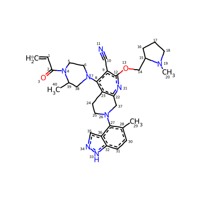 C=CC(=O)N1CCN(c2c(C#N)c(OCC3CCCN3C)nc3c2CCN(c2c(C)ccc4[nH]ncc24)C3)CC1C